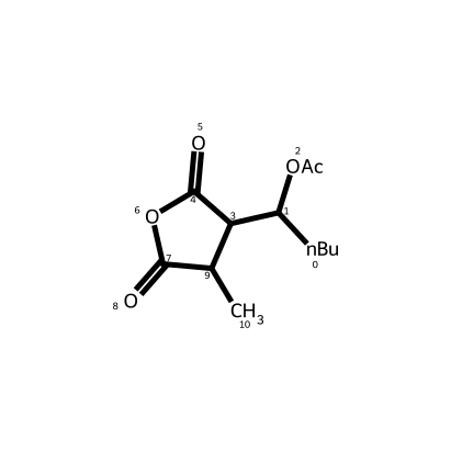 CCCCC(OC(C)=O)C1C(=O)OC(=O)C1C